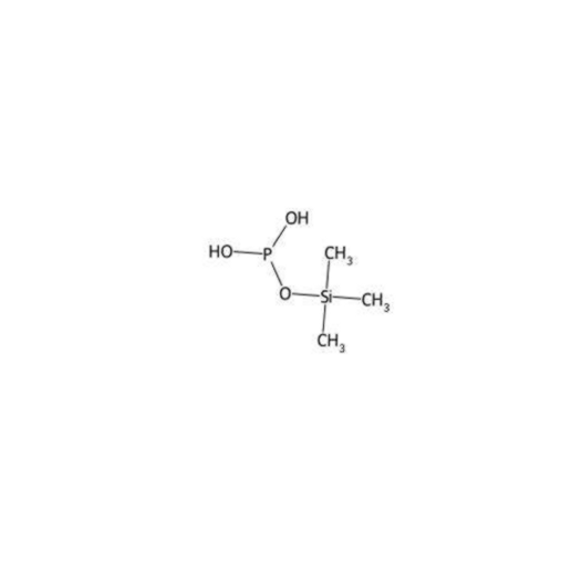 C[Si](C)(C)OP(O)O